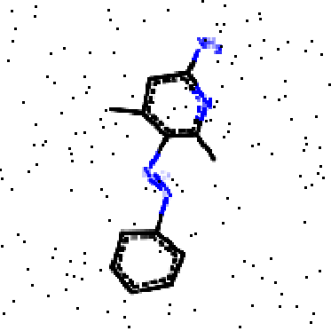 Cc1cc(N)nc(C)c1/N=N/c1ccccc1